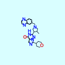 CC1CN(Cc2ccc3nccnc3c2)CC1c1nn2c(C3CCOCC3)ncc2c(=O)[nH]1